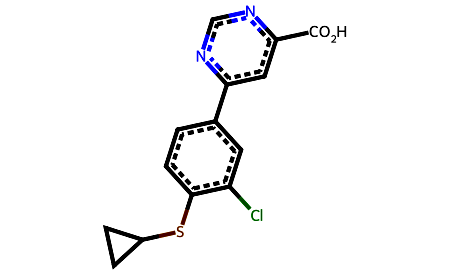 O=C(O)c1cc(-c2ccc(SC3CC3)c(Cl)c2)ncn1